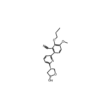 CCCOc1c(OC)ccc(-c2cccc([C@H]3COB(O)C3)n2)c1C#N